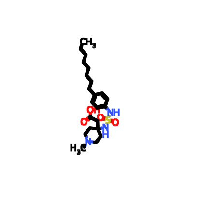 CCCCCCCCc1ccc(NS(=O)(=O)NC2(CC(=O)O)CCN(C)CC2)cc1